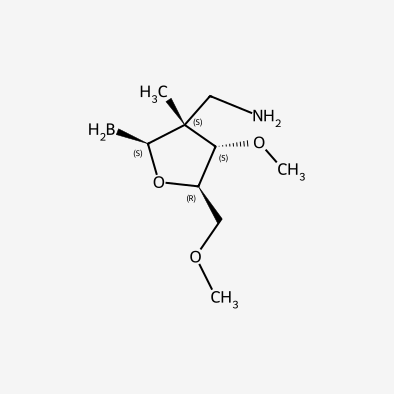 B[C@@H]1O[C@H](COC)[C@@H](OC)[C@@]1(C)CN